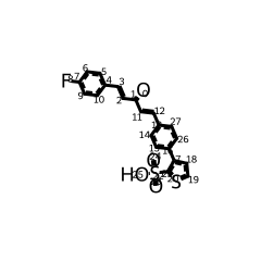 O=C(/C=C/c1ccc(F)cc1)/C=C/c1ccc(-c2ccsc2S(=O)(=O)O)cc1